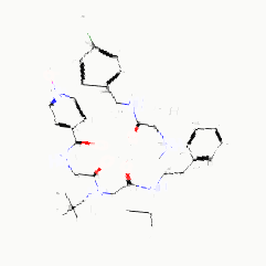 CCC[C@H](NC(=O)[C@H](CC(C)(C)C)NC(=O)c1cc[n+]([O-])cc1)C(=O)N[C@H](CN[C@@H](C)C(=O)N[C@H](C)c1ccc(F)cc1)Cc1ccccc1